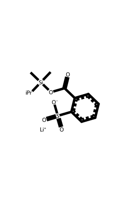 CC(C)[Si](C)(C)OC(=O)c1ccccc1S(=O)(=O)[O-].[Li+]